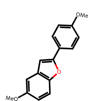 COc1ccc(-c2cc3cc(OC)ccc3o2)cc1